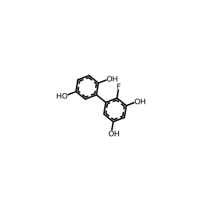 Oc1ccc(O)c(-c2cc(O)cc(O)c2F)c1